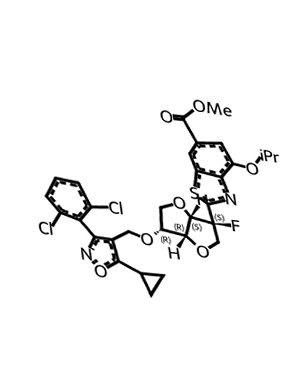 COC(=O)c1cc(OC(C)C)c2nc([C@]3(F)CO[C@@H]4[C@H](OCc5c(-c6c(Cl)cccc6Cl)noc5C5CC5)CO[C@@H]43)sc2c1